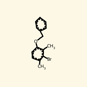 Cc1ccc(OCc2ccccc2)c(C)c1Br